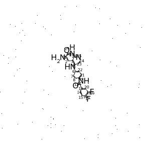 Nc1cc2c(Nc3ccc(NC(=O)c4ccc(F)c(F)c4)cc3)ccnc2[nH]c1=O